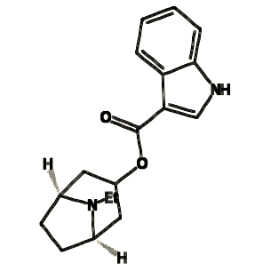 CCN1[C@@H]2CC[C@H]1CC(OC(=O)c1c[nH]c3ccccc13)C2